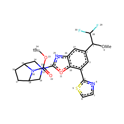 COC(c1cc(-c2nccs2)c2oc(N3CC4CCC(C3)N4C(=O)OC(C)(C)C)nc2c1)C(F)F